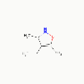 CCC1=C(C)ONC1C